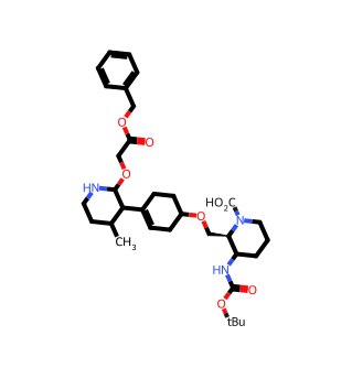 CC1CCNC(OCC(=O)OCc2ccccc2)C1C1=CCC(OC[C@@H]2C(NC(=O)OC(C)(C)C)CCCN2C(=O)O)CC1